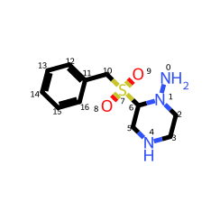 NN1CCNCC1S(=O)(=O)Cc1ccccc1